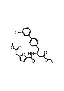 CCOC(=O)CC(Cc1ccc(-c2cccc(Cl)c2)cc1)NC(=O)c1ccc(CC(=O)OC)o1